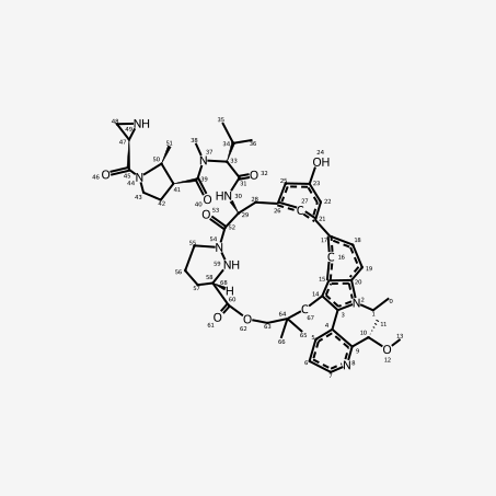 CCn1c(-c2cccnc2[C@H](C)OC)c2c3cc(ccc31)-c1cc(O)cc(c1)C[C@H](NC(=O)[C@H](C(C)C)N(C)C(=O)[C@H]1CCN(C(=O)[C@H]3CN3)[C@H]1C)C(=O)N1CCC[C@H](N1)C(=O)OCC(C)(C)C2